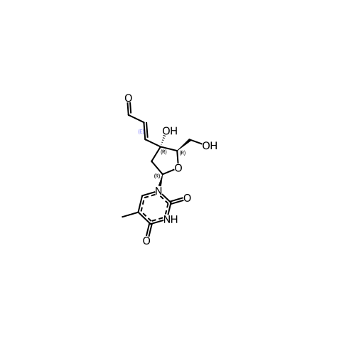 Cc1cn([C@H]2C[C@@](O)(/C=C/C=O)[C@@H](CO)O2)c(=O)[nH]c1=O